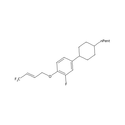 CCCCCC1CCC(c2ccc(OCC=CC(F)(F)F)c(F)c2)CC1